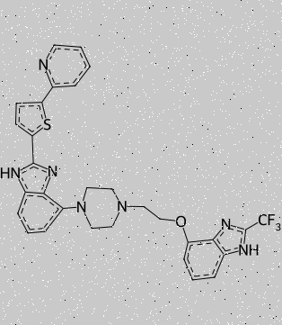 FC(F)(F)c1nc2c(OCCN3CCN(c4cccc5[nH]c(-c6ccc(-c7ccccn7)s6)nc45)CC3)cccc2[nH]1